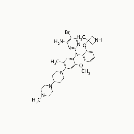 COc1cc(N2CCC(N3CCN(C)CC3)CC2)c(C)cc1N(c1ncc(Br)c(N)n1)c1ccccc1OC1(C)CNC1